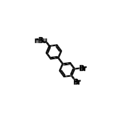 CCCCc1ccc(-c2ccc(Br)c(Br)c2)cc1